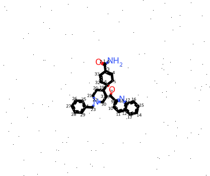 NC(=O)C1=CCC(OCc2ccc3ccccc3n2)(C2CCN(Cc3ccccc3)CC2)C=C1